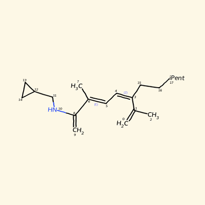 C=C(C)/C(=C\C=C(/C)C(=C)NCC1CC1)CCC(C)CCC